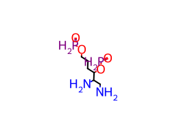 NCC(N)C(CCCO[PH2]=O)O[PH2]=O